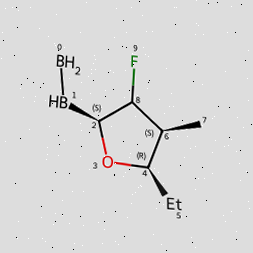 BB[C@@H]1O[C@H](CC)[C@H](C)C1F